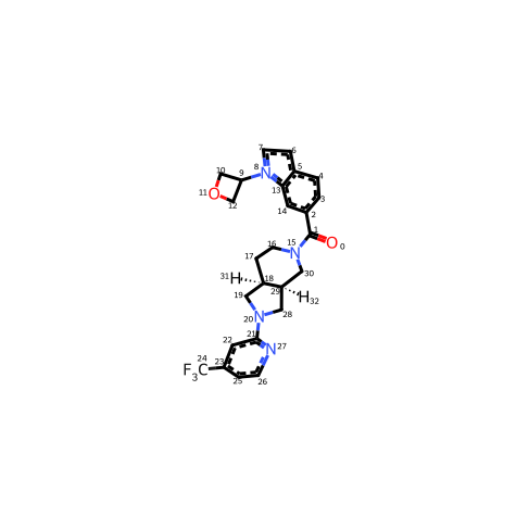 O=C(c1ccc2ccn(C3COC3)c2c1)N1CC[C@@H]2CN(c3cc(C(F)(F)F)ccn3)C[C@@H]2C1